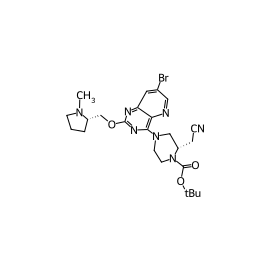 CN1CCC[C@H]1COc1nc(N2CCN(C(=O)OC(C)(C)C)[C@@H](CC#N)C2)c2ncc(Br)cc2n1